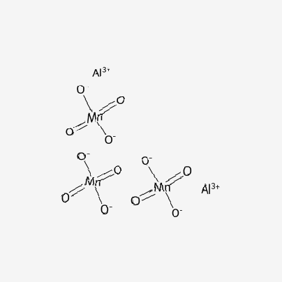 [Al+3].[Al+3].[O]=[Mn](=[O])([O-])[O-].[O]=[Mn](=[O])([O-])[O-].[O]=[Mn](=[O])([O-])[O-]